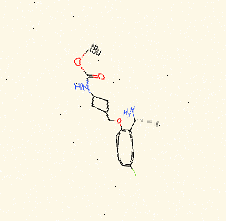 C[C@@H](N)c1cc(F)ccc1OCC1CC(NC(=O)OC(C)(C)C)C1